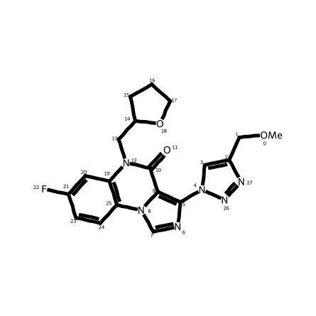 COCc1cn(-c2ncn3c2c(=O)n(CC2CCCO2)c2cc(F)ccc23)nn1